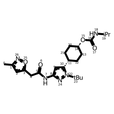 Cc1cc(CC(=O)Nc2cc([C@H]3CC[C@@H](OC(=O)NC(C)C)CC3)n(C(C)(C)C)n2)on1